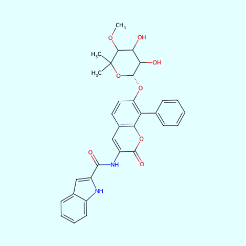 COC1C(O)C(O)[C@H](Oc2ccc3cc(NC(=O)c4cc5ccccc5[nH]4)c(=O)oc3c2-c2ccccc2)OC1(C)C